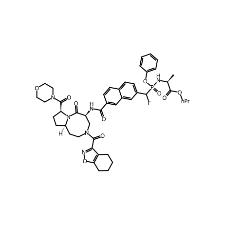 CCCOC(=O)[C@H](C)NP(=O)(Oc1ccccc1)C(F)c1ccc2ccc(C(=O)N[C@H]3CN(C(=O)c4noc5c4CCCC5)CC[C@H]4CC[C@@H](C(=O)N5CCOCC5)N4C3=O)cc2c1